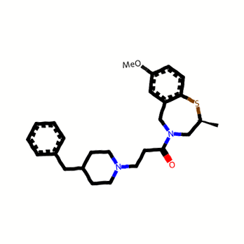 COc1ccc2c(c1)CN(C(=O)CCN1CCC(Cc3ccccc3)CC1)C[C@H](C)S2